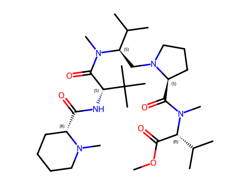 COC(=O)[C@@H](C(C)C)N(C)C(=O)[C@@H]1CCCN1C[C@H](C(C)C)N(C)C(=O)[C@@H](NC(=O)[C@H]1CCCCN1C)C(C)(C)C